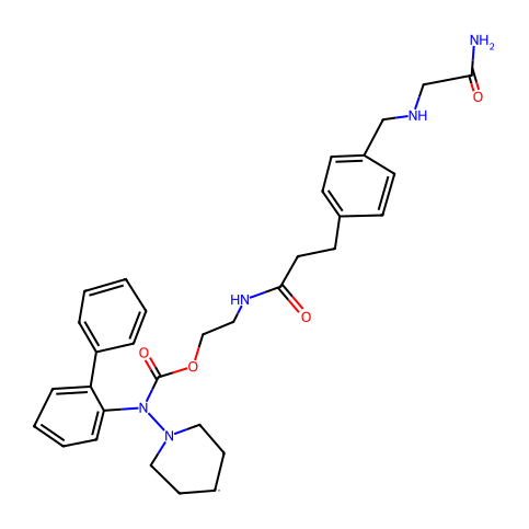 NC(=O)CNCc1ccc(CCC(=O)NCCOC(=O)N(c2ccccc2-c2ccccc2)N2CC[CH]CC2)cc1